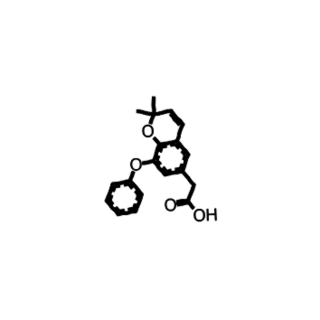 CC1(C)C=Cc2cc(CC(=O)O)cc(Oc3ccccc3)c2O1